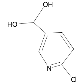 OC(O)c1ccc(Cl)nc1